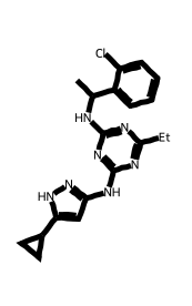 CCc1nc(Nc2cc(C3CC3)[nH]n2)nc(NC(C)c2ccccc2Cl)n1